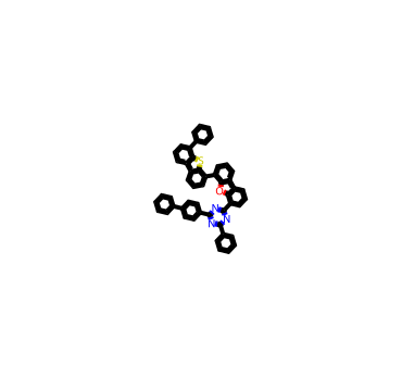 c1ccc(-c2ccc(-c3nc(-c4ccccc4)nc(-c4cccc5c4oc4c(-c6cccc7c6sc6c(-c8ccccc8)cccc67)cccc45)n3)cc2)cc1